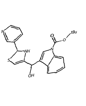 CC(C)(C)OC(=O)n1cc(C(O)C2=CSC(c3cccnc3)N2)c2ccccc21